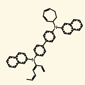 C=C/C(=C\C=C/C)N(c1ccc(-c2ccc(N(c3ccc4ccccc4c3)C3C=CC=CCC3)cc2)cc1)c1ccc2ccccc2c1